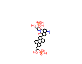 CN(C)c1ccc2c3c(c(-c4ccc5c6cccc7c(CC(CO)COP(=O)(O)O)ccc(c8cccc4c85)c76)ccc13)C(=O)N(CC(CO)COP(=O)(O)O)C2=O